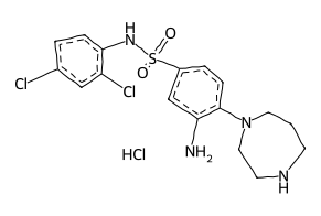 Cl.Nc1cc(S(=O)(=O)Nc2ccc(Cl)cc2Cl)ccc1N1CCCNCC1